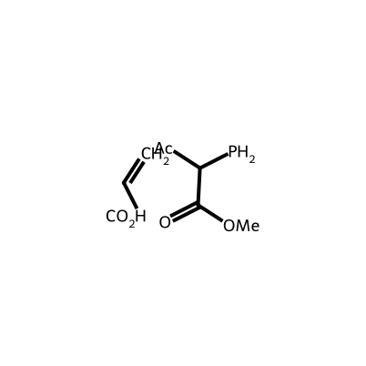 C=CC(=O)O.COC(=O)C(P)C(C)=O